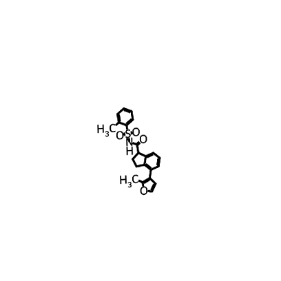 Cc1ccccc1S(=O)(=O)NC(=O)C1CCc2c(-c3ccoc3C)cccc21